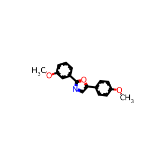 COc1ccc(-c2cnc(-c3cccc(OC)c3)o2)cc1